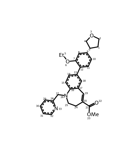 C1CCOC1.CCOc1ccccc1-c1ccc2c(c1)C=C(C(=O)OC)CCN2Cc1ccccn1